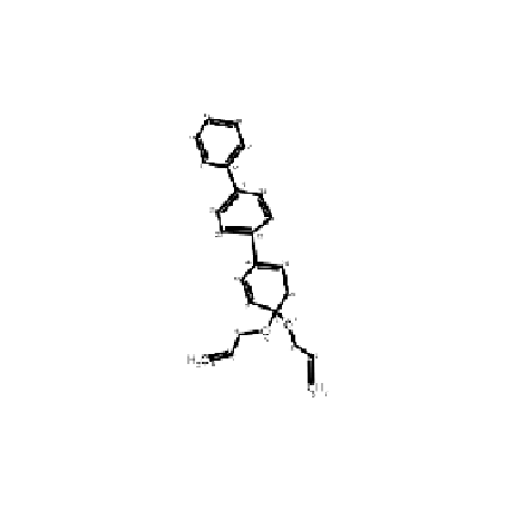 C=CCOC1(OCC=C)C=CC(c2ccc(-c3ccccc3)cc2)=CC1